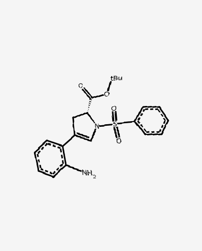 CC(C)(C)OC(=O)[C@H]1CC(c2ccccc2N)=CN1S(=O)(=O)c1ccccc1